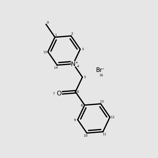 Cc1cc[n+](CC(=O)c2ccccc2)cc1.[Br-]